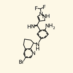 N=C(C1=CN(C(F)F)NC1)c1cc(NC2CCCc3cc(Br)cnc32)ccc1N